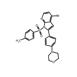 Cc1ccc(S(=O)(=O)n2c(-c3ccc(N4CCOCC4)cc3)cc3c(Br)ccnc32)cc1